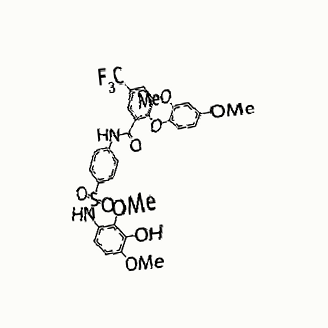 COc1ccc(Oc2ccc(C(F)(F)F)cc2C(=O)Nc2ccc(S(=O)(=O)Nc3ccc(OC)c(O)c3OC)cc2)c(OC)c1